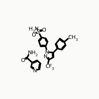 Cc1ccc(-c2cc(C(F)(F)F)nn2-c2ccc(S(N)(=O)=O)cc2)cc1.NC(=O)c1cccnc1